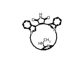 CNc1nc2ccc1CCCCn1cc(c3ccccc31)C1=C(C(=O)NC1=O)c1cn(c3ccccc13)CCC2